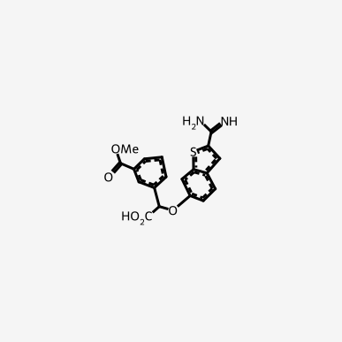 COC(=O)c1cccc(C(Oc2ccc3cc(C(=N)N)sc3c2)C(=O)O)c1